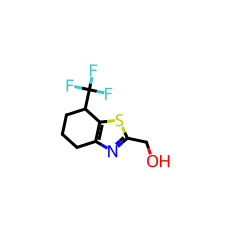 OCc1nc2c(s1)C(C(F)(F)F)CCC2